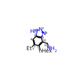 CCCCCCc1c(CC)cc2[nH]nnc2c1CN